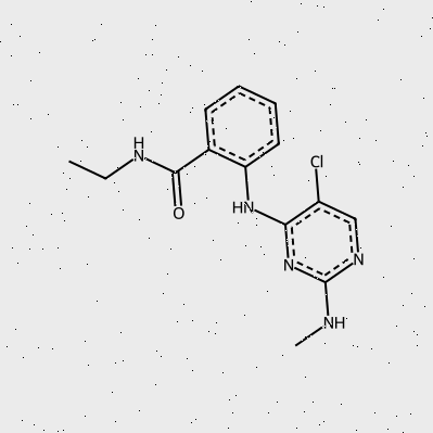 CCNC(=O)c1ccccc1Nc1nc(NC)ncc1Cl